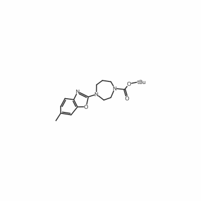 Cc1ccc2nc(N3CCCN(C(=O)OC(C)(C)C)CC3)oc2c1